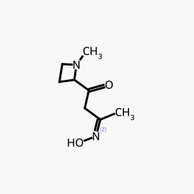 C/C(CC(=O)C1CCN1C)=N/O